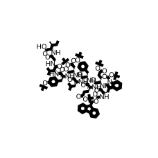 CC[C@H](C)[C@H](NC(=O)CNC(=O)[C@@H](NC(=O)[C@H](Cc1ccc(OC(C)(C)C)cc1)NC(=O)[C@H](CC(=O)OC(C)(C)C)NC(=O)[C@H](CC(C)C)NC(=O)[C@H](Cc1ccc(OC(C)(C)C)cc1)NC(=O)[C@H](CCC(=O)OC(C)(C)C)NC(=O)[C@H](CCC(=O)OC(C)(C)C)NC(=O)[C@H](Cc1cn(C(=O)OC(C)(C)C)c2ccccc12)NC(=O)OCC1c2ccccc2-c2ccccc21)C(C)C)C(=O)O